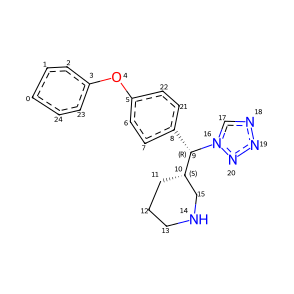 c1ccc(Oc2ccc([C@@H]([C@H]3CCCNC3)n3cnnn3)cc2)cc1